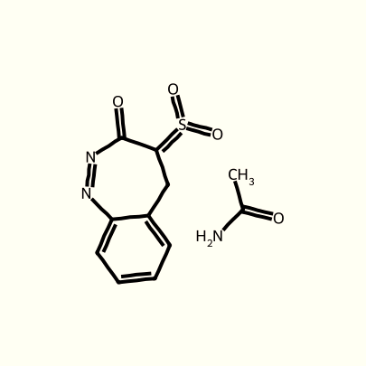 CC(N)=O.O=C1N=Nc2ccccc2CC1=S(=O)=O